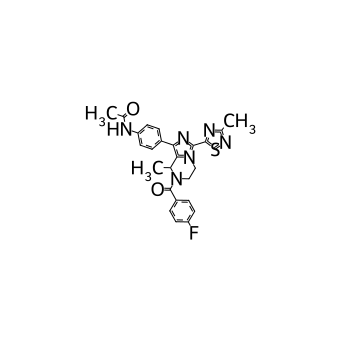 CC(=O)Nc1ccc(-c2nc(-c3nc(C)ns3)n3c2C(C)N(C(=O)c2ccc(F)cc2)CC3)cc1